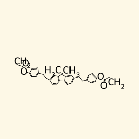 C=CC(=O)Oc1ccc(CCc2ccc3c(c2)C(C)(C)c2cc(CCc4ccc(OC(=O)C=C)cc4)ccc2-3)cc1